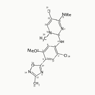 CNC1=NC(Nc2cc(OC)c(-c3nc(C)no3)cc2Cl)N(C)C=C1Cl